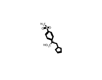 CS(=O)(=O)c1ccc([C@@H](CC2CC=CC2)C(=O)O)cc1